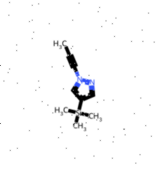 CC#Cn1cc([Si](C)(C)C)cn1